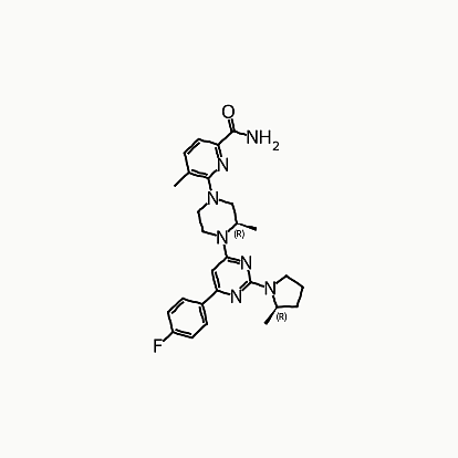 Cc1ccc(C(N)=O)nc1N1CCN(c2cc(-c3ccc(F)cc3)nc(N3CCC[C@H]3C)n2)[C@H](C)C1